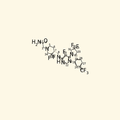 NC(=O)CN1CC[C@H](CNc2ncnc(N3CC(F)(F)C[C@@H]3c3ccc(C(F)(F)F)cc3)c2F)C(F)(F)C1